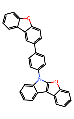 c1ccc2c(c1)oc1ccc(-c3ccc(-n4c5ccccc5c5c6ccccc6oc54)cc3)cc12